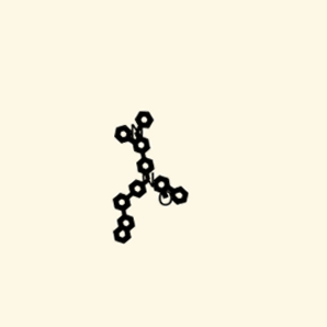 c1ccc(-n2c3ccccc3c3cc(-c4ccc(N(c5ccc(-c6cccc(-c7ccc8ccccc8c7)c6)cc5)c5ccc6c(c5)oc5ccccc56)cc4)ccc32)cc1